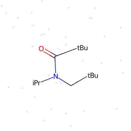 CC(C)N(CC(C)(C)C)C(=O)C(C)(C)C